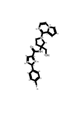 O=C(NC1(CO)CCN(c2nccn3cccc23)C1)C1=NC(c2ccc(F)cc2)N=C1